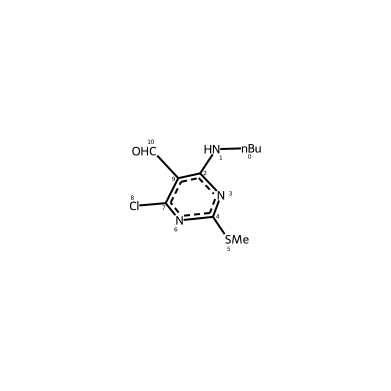 CCCCNc1nc(SC)nc(Cl)c1C=O